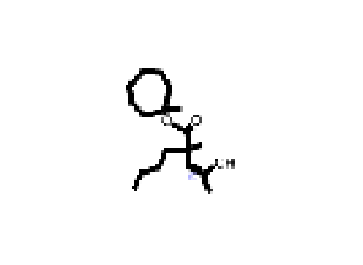 CCCCC(C)(/C=C(/C)O)C(=O)OC1(C)CCCCCC1